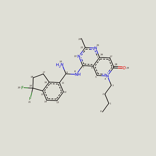 CCCCn1cc2c(NC(N)c3cccc4c3CCC4(F)F)nc(C)nc2cc1=O